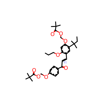 CCCOc1cc(OCOC(=O)C(C)(C)C)c(C(C)(C)CC)cc1/C=C/C(=O)c1ccc(OCOC(=O)C(C)(C)C)cc1